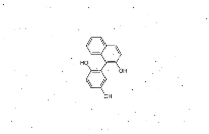 Oc1ccc(O)c(-c2c(O)ccc3ccccc23)c1